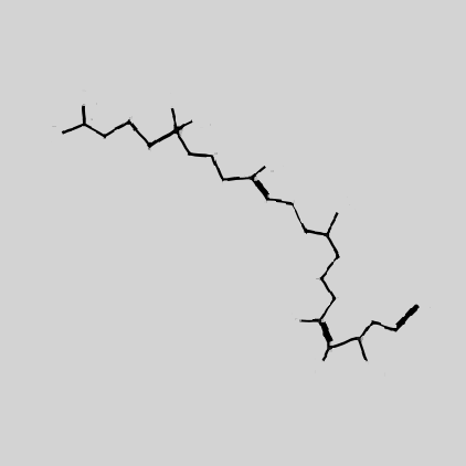 C=CCC(C)/C(C)=C(/P)CCCC(C)CC/C=C(\C)CCCC(C)(O)CCCC(C)C(=O)O